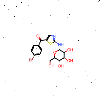 O=C(c1ccc(Br)cc1)c1cnc(N[C@H]2OC(CO)[C@@H](O)[C@H](O)C2O)s1